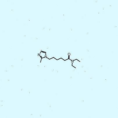 CCN(CC)C(=O)CCCCCn1c[c]nc1C